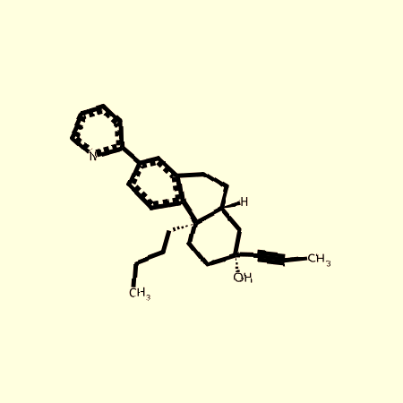 CC#C[C@@]1(O)CC[C@@]2(CCCC)c3ccc(-c4ccccn4)cc3CC[C@@H]2C1